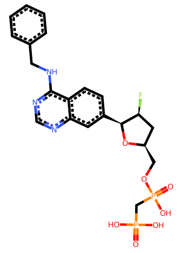 O=P(O)(O)CP(=O)(O)OC[C@@H]1C[C@H](F)[C@H](c2ccc3c(NCc4ccccc4)ncnc3c2)O1